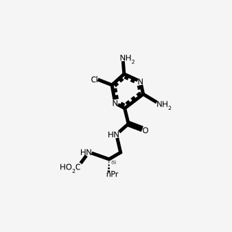 CCC[C@@H](CNC(=O)c1nc(Cl)c(N)nc1N)NC(=O)O